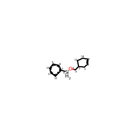 C1=CCC(CO[SiH2]c2ccccc2)CC1